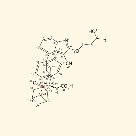 CC(O)CCOc1nn2cccc(-c3ccc(N4CC5CC(C4)N5C(=O)[C@H](NC(=O)O)c4ccc(F)cc4)nc3)c2c1C#N